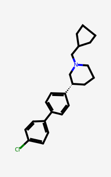 Clc1ccc(-c2ccc([C@H]3CCCN(CC4CCCC4)C3)cc2)cc1